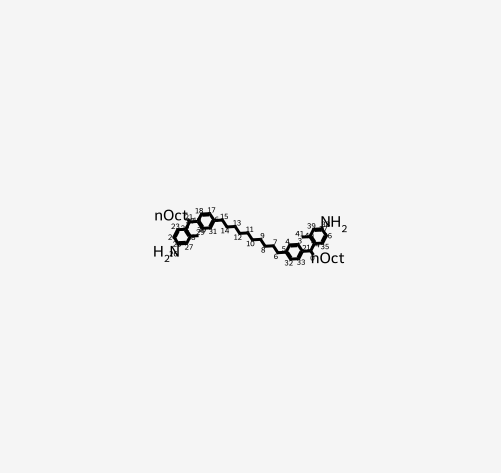 CCCCCCCCC(c1ccc(CCCCCCCCCCc2ccc(C(CCCCCCCC)c3ccc(N)cc3C)cc2)cc1)c1ccc(N)cc1C